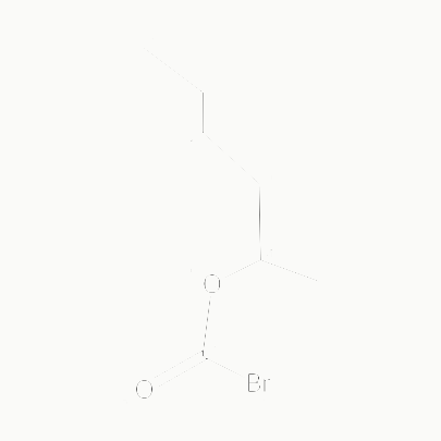 CCCCC(C)OC(=O)Br